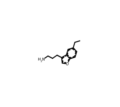 CCc1ccc2occ(CCCN)c2c1